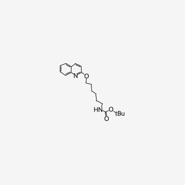 CC(C)(C)OC(=O)NCCCCCCOc1ccc2ccccc2n1